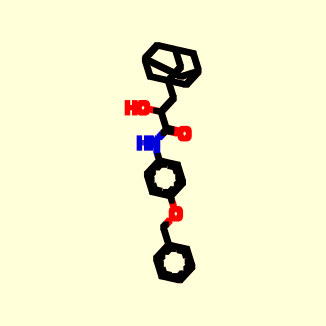 O=C(Nc1ccc(OCc2ccccc2)cc1)C(O)CC12CC3CC(CC(C3)C1)C2